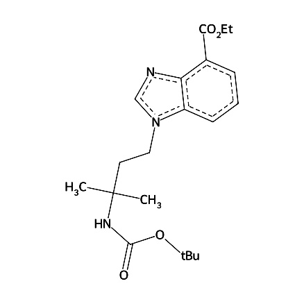 CCOC(=O)c1cccc2c1ncn2CCC(C)(C)NC(=O)OC(C)(C)C